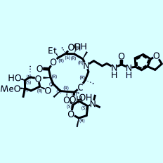 CC[C@H]1OC(=O)[C@H](C)[C@@H](O[C@H]2C[C@@](C)(OC)[C@@H](O)[C@H](C)O2)[C@H](C)[C@@H](O[C@@H]2O[C@H](C)C[C@H](N(C)C)[C@H]2O)[C@](C)(O)C[C@@H](C)CN(CCCNC(=O)Nc2ccc3c(c2)CCO3)[C@H](C)[C@@H](O)[C@]1(C)O